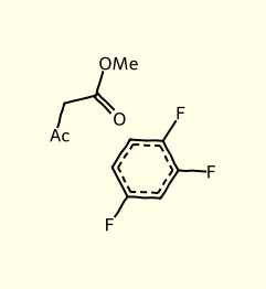 COC(=O)CC(C)=O.Fc1ccc(F)c(F)c1